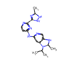 CC1N=C(c2nccc(Nc3cc4c(cn3)NC(C)N4C(C)C)n2)NN1